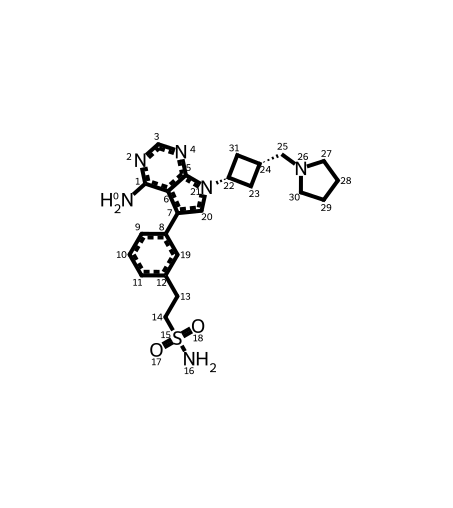 Nc1ncnc2c1c(-c1cccc(CCS(N)(=O)=O)c1)cn2[C@H]1C[C@@H](CN2CCCC2)C1